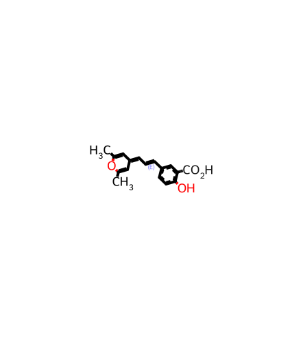 CC1=CC(=C/C=C/c2ccc(O)c(C(=O)O)c2)C=C(C)O1